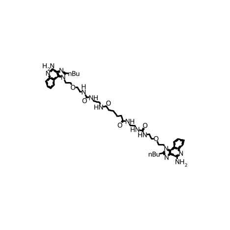 CCCCc1nc2c(N)nc3ccccc3c2n1CCOCCNC(=O)NCCNC(=O)CCCCC(=O)NCCNC(=O)NCCOCCn1c(CCCC)nc2c(N)nc3ccccc3c21